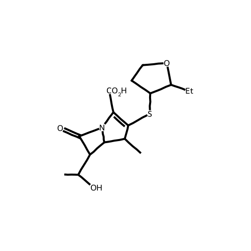 CCC1OCCC1SC1=C(C(=O)O)N2C(=O)C(C(C)O)C2C1C